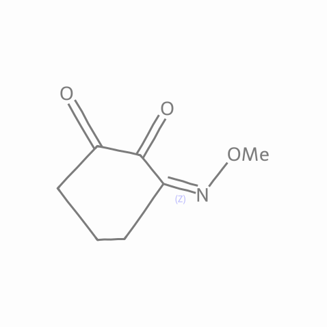 CO/N=C1/CCCC(=O)C1=O